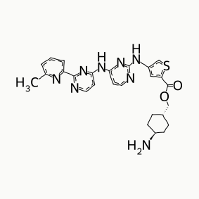 Cc1cccc(-c2nccc(Nc3ccnc(Nc4csc(C(=O)OC[C@H]5CC[C@H](N)CC5)c4)n3)n2)n1